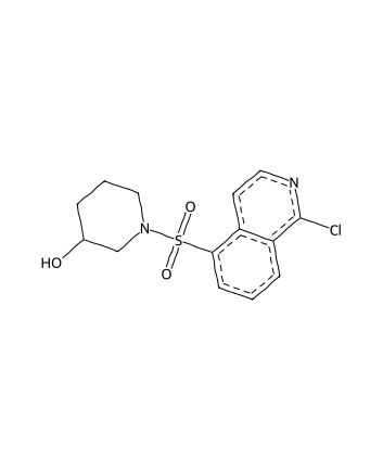 O=S(=O)(c1cccc2c(Cl)nccc12)N1CCCC(O)C1